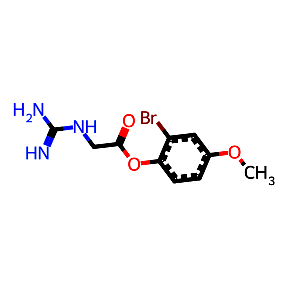 COc1ccc(OC(=O)CNC(=N)N)c(Br)c1